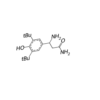 CC(C)(C)c1cc(C(N)CC(N)=O)cc(C(C)(C)C)c1O